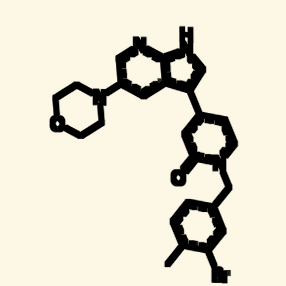 Cc1ccc(Cn2ccc(-c3c[nH]c4ncc(N5CCOCC5)cc34)cc2=O)cc1Br